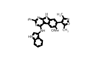 COc1cc2c(cc1-c1c(C)noc1C)[nH]c1nc(C(C)C)nc(Nc3c[nH]c4ccccc34)c12